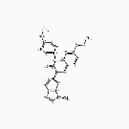 CCOc1ccc2cn(-c3ccc4ncn(C)c4c3)c(=O)c(-c3ccc(NC)nc3)c2n1